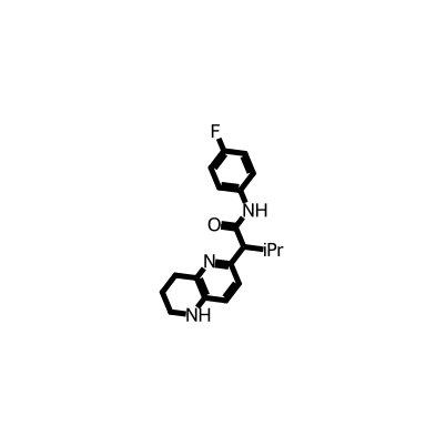 CC(C)C(C(=O)Nc1ccc(F)cc1)c1ccc2c(n1)CCCN2